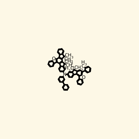 Cc1ccccc1-c1cc2c(c3c1oc1ccccc13)-c1ccc(N(c3cccc(-c4ccccc4)c3)c3ccc4c(c3)C(C)(C)c3c5c(c6oc7ccccc7c6c3-4)-c3ccccc3C5(C)C)cc1C2(C)C